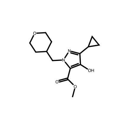 COC(=O)c1c(O)c(C2CC2)nn1CC1CCOCC1